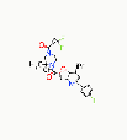 CC(C)c1cc(-c2ccc(F)cc2)nc2cc(C(=O)N3CCN(C(=O)C4CC4(F)F)CC3(C)C)oc12